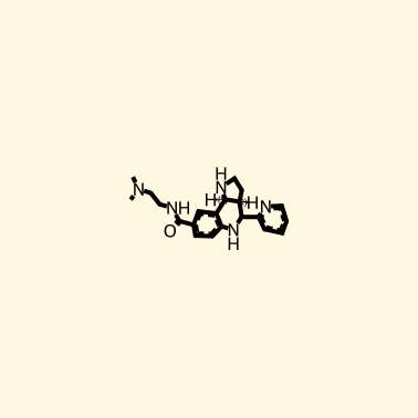 CN(C)CCNC(=O)c1ccc2c(c1)[C@H]1NCC[C@H]1C(c1ccccn1)N2